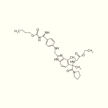 CCCCOC(=O)NC(=N)c1ccc(NCc2nc3c(C)c(C(C)(NCC(=O)OCC)C(=O)N4CCCC4)ccc3[nH]2)cc1